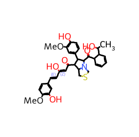 COc1ccc(/C=C/C(O)=C/C(=O)C2C(c3ccc(O)c(OC)c3)C(C(=O)C3C=CC=CC3C(C)O)N3CSCC23)cc1O